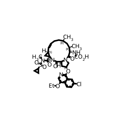 CCOc1cnc(O[C@@H]2C[C@H]3C(=O)N[C@]4(C(=O)N(C)S(=O)(=O)C5CC5)C[C@H]4C=CCC[C@@H](C)C[C@@H](C)[C@H](NC(=O)O)C(=O)N3C2)c2cc(Cl)ccc12